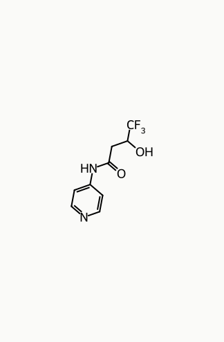 O=C(CC(O)C(F)(F)F)Nc1ccncc1